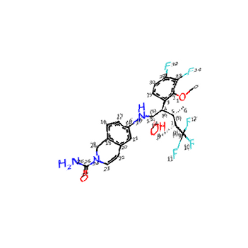 COc1c([C@@H]([C@H](C)[C@@H](C)C(F)(F)F)[C@H](O)Nc2ccc3c(c2)C=CN(C(N)=O)C3)ccc(F)c1F